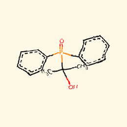 CC(C)(O)P(=O)(c1ccccc1)c1ccccc1